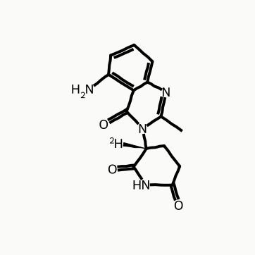 [2H][C@@]1(n2c(C)nc3cccc(N)c3c2=O)CCC(=O)NC1=O